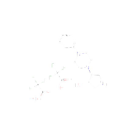 O=C(O)C(F)(F)F.O=C(O)C(F)(F)F.O[C@H]1CNC[C@@H]1N1CCN(c2ccccc2)CC1